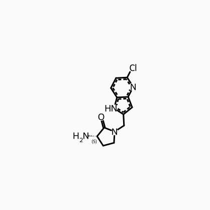 N[C@H]1CCN(Cc2cc3nc(Cl)ccc3[nH]2)C1=O